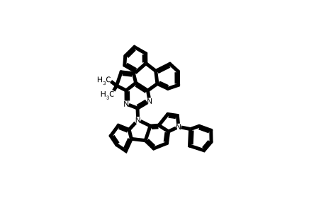 CC1(C)C=Cc2c(-c3ccccc3-c3ccccc3)nc(-n3c4ccccc4c4ccc5c(ccn5-c5ccccc5)c43)nc21